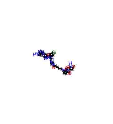 NC1(C(=O)NC(CCN2CCN(C(=O)CCCCCCNc3cccc4c3C(=O)N(C3CCC(=O)NC3=O)C4=O)CC2)c2ccc(Cl)cc2)CCN(c2ncnc3[nH]ccc23)CC1